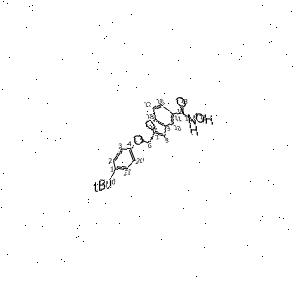 CC(C)(C)c1ccc(OCc2cc3cc(C(=O)NO)ccc3o2)cc1